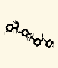 Fc1ccc2nccc(Nc3ccc4nc(-c5cccc(Nc6ccncc6)c5)oc4c3)c2c1